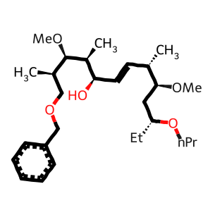 CCCO[C@H](CC)C[C@H](OC)[C@@H](C)/C=C/[C@@H](O)[C@H](C)[C@H](OC)[C@H](C)COCc1ccccc1